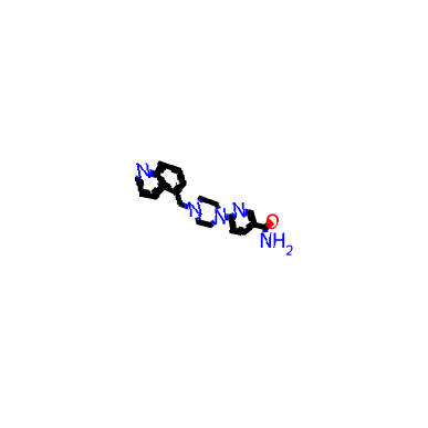 NC(=O)c1ccc(N2CCN(Cc3cccc4ncccc34)CC2)nc1